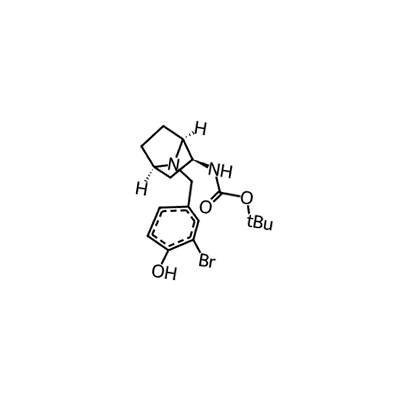 CC(C)(C)OC(=O)N[C@H]1C[C@H]2CC[C@@H]1N2Cc1ccc(O)c(Br)c1